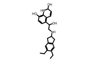 CCc1cc2c(cc1CC)CC(NCC(O)c1ccc(O)c3c1C=CC(O)N3)C2